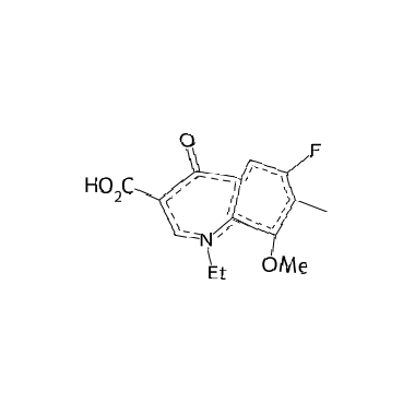 CCn1cc(C(=O)O)c(=O)c2cc(F)c(C)c(OC)c21